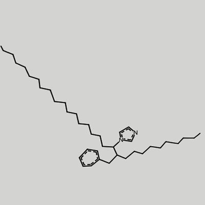 CCCCCCCCCCCCCCCCCCC(C(CCCCCCCCCC)Cc1ccccc1)n1ccnc1